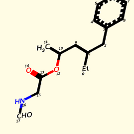 CCC(Cc1ccccc1)CC(C)OC(=O)CNC=O